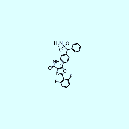 NC(=O)c1nc(-c2c(F)cccc2F)oc1-c1ccc(C(c2ccccc2)S(N)(=O)=O)cc1